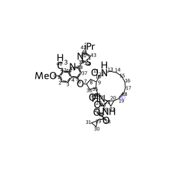 COc1ccc2c(OC3CC4C(=O)NCCCCC/C=C\C5CC5(C(=O)NS(=O)(=O)C5CC5)NC(=O)C4C3)cc(-c3nc(C(C)C)cs3)nc2c1C